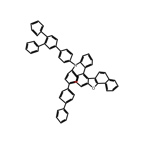 c1ccc(-c2ccc(-c3ccc(N(c4ccc(-c5ccc(-c6ccccc6)c(-c6ccccc6)c5)cc4)c4ccccc4-c4cccc5oc6c7ccccc7ccc6c45)cc3)cc2)cc1